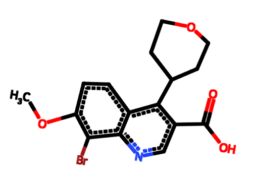 COc1ccc2c(C3CCOCC3)c(C(=O)O)cnc2c1Br